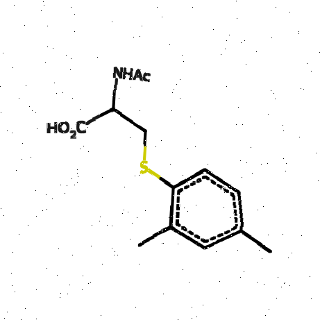 CC(=O)NC(CSc1ccc(C)cc1C)C(=O)O